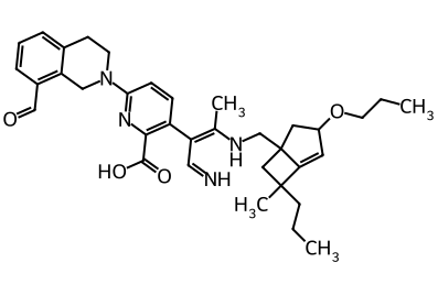 CCCOC1C=C2C(C)(CCC)CC2(CN/C(C)=C(\C=N)c2ccc(N3CCc4cccc(C=O)c4C3)nc2C(=O)O)C1